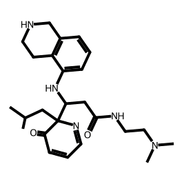 CC(C)CC1(C(CC(=O)NCCN(C)C)Nc2cccc3c2CCNC3)N=CC=CC1=O